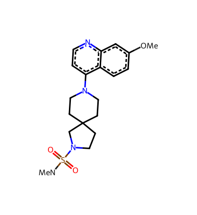 CNS(=O)(=O)N1CCC2(CCN(c3ccnc4cc(OC)ccc34)CC2)C1